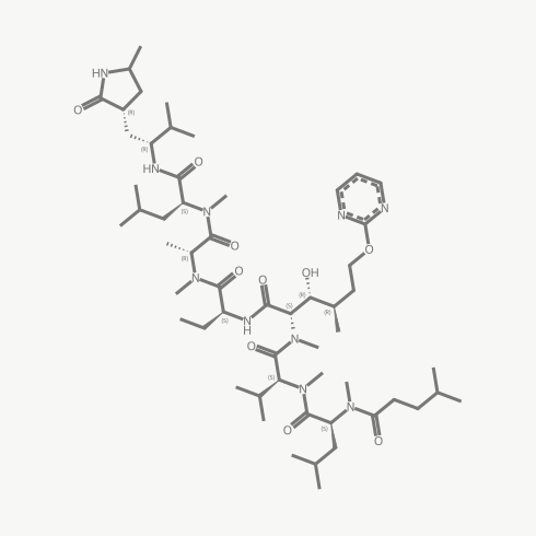 CC[C@H](NC(=O)[C@H]([C@H](O)[C@H](C)CCOc1ncccn1)N(C)C(=O)[C@H](C(C)C)N(C)C(=O)[C@H](CC(C)C)N(C)C(=O)CCC(C)C)C(=O)N(C)[C@H](C)C(=O)N(C)[C@@H](CC(C)C)C(=O)N[C@H](C[C@H]1CC(C)NC1=O)C(C)C